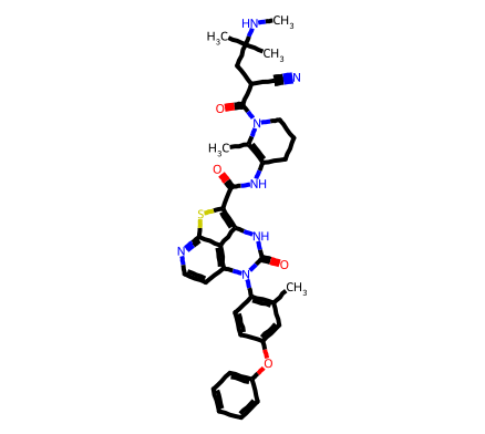 CNC(C)(C)CC(C#N)C(=O)N1CCCC(NC(=O)c2sc3nccc4c3c2NC(=O)N4c2ccc(Oc3ccccc3)cc2C)=C1C